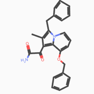 Cc1c(C(=O)C(N)=O)c2c(OCc3ccccc3)cccn2c1Cc1ccccc1